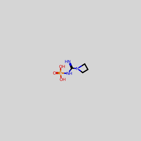 N=C(NP(=O)(O)O)N1CCC1